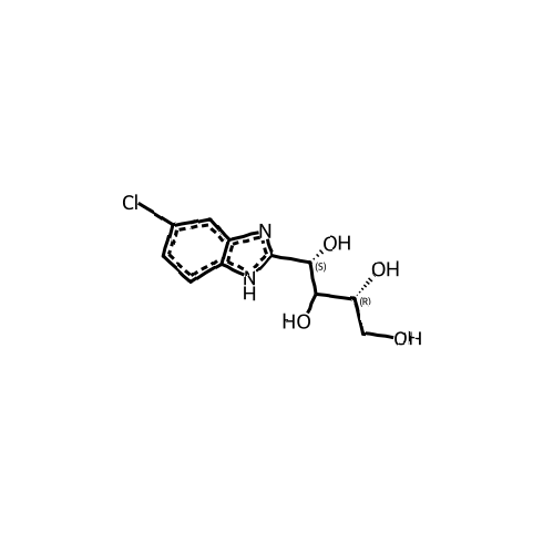 OC[C@@H](O)C(O)[C@@H](O)c1nc2cc(Cl)ccc2[nH]1